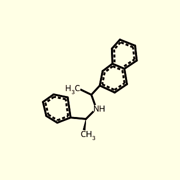 CC(N[C@@H](C)c1ccccc1)c1ccc2ccccc2c1